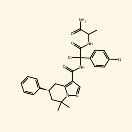 CCc1ccc(C(CC)(NC(=O)c2cnn3c2C[C@H](c2ccccc2)CC3(C)C)C(=O)NC(C)C(N)=O)cc1